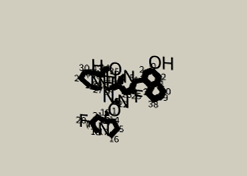 Oc1cc(-c2nc3c4c(nc(OC[C@@]56CCCN5C[C@H](F)C6)nc4c2F)N2CC4CC[C@@H](N4)[C@H]2CO3)c2ccccc2c1